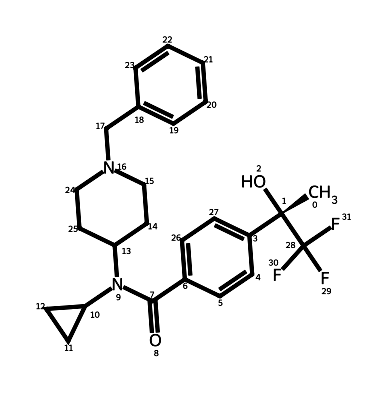 C[C@](O)(c1ccc(C(=O)N(C2CC2)C2CCN(Cc3ccccc3)CC2)cc1)C(F)(F)F